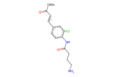 COC(=O)/C=C/c1ccc(NC(=O)CCCN)cc1.Cl